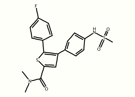 CN(C)C(=O)c1cc(-c2ccc(NS(C)(=O)=O)cc2)c(-c2ccc(F)cc2)s1